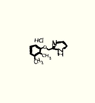 Cc1cccc(OCC2=NCCN2)c1C.Cl